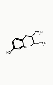 O=C(O)[C@H](Cc1ccc(O)cc1)N(C(=O)O)C(=O)O